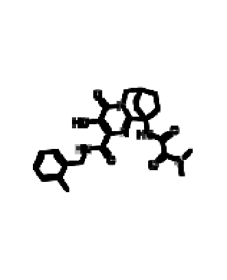 Cc1ccccc1CNC(=O)c1nc2n(c(=O)c1O)CC1CCC2(NC(=O)C(=O)N(C)C)CC1